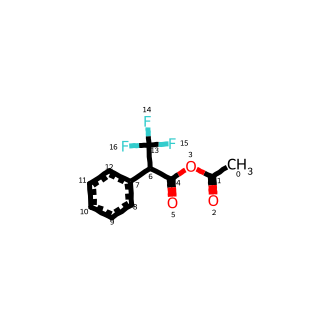 CC(=O)OC(=O)C(c1ccccc1)C(F)(F)F